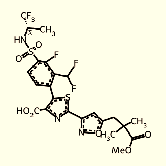 COC(=O)C(C)(C)Cc1cc(-c2nc(C(=O)O)c(-c3ccc(S(=O)(=O)N[C@@H](C)C(F)(F)F)c(F)c3C(F)F)s2)no1